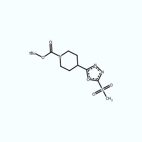 CC(C)(C)OC(=O)N1CCC(c2nnc(S(C)(=O)=O)o2)CC1